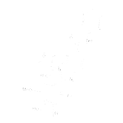 COc1cc(-c2nc3ccc(C(=O)Nc4ccccc4)cc3n2C2(C)COC2)c(F)c(O)c1O